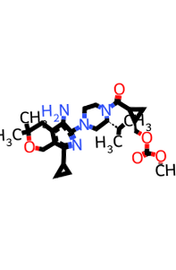 COC(=O)OC[C@@H]1CC1C(=O)N1CCN(c2nc(C3CC3)c3c(c2N)CC(C)(C)OC3)C[C@H]1C(C)C